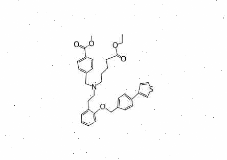 CCOC(=O)CCCCN(CCc1ccccc1OCc1ccc(-c2ccsc2)cc1)Cc1ccc(C(=O)OC)cc1